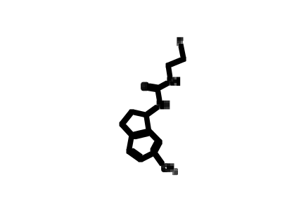 Cc1ccc2c(c1)C(NC(=O)NCCF)CC2